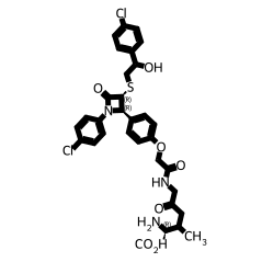 CC(CC(=O)CNC(=O)COc1ccc([C@@H]2[C@@H](SCC(O)c3ccc(Cl)cc3)C(=O)N2c2ccc(Cl)cc2)cc1)[C@@H](N)C(=O)O